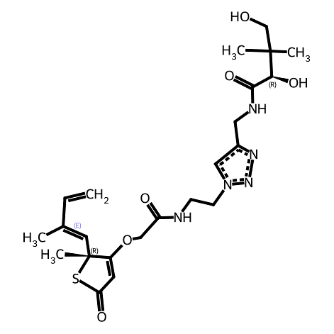 C=C/C(C)=C/[C@@]1(C)SC(=O)C=C1OCC(=O)NCCn1cc(CNC(=O)[C@H](O)C(C)(C)CO)nn1